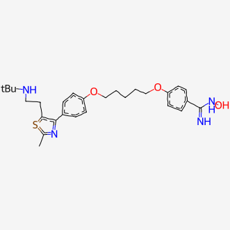 Cc1nc(-c2ccc(OCCCCCOc3ccc(C(=N)NO)cc3)cc2)c(CCNC(C)(C)C)s1